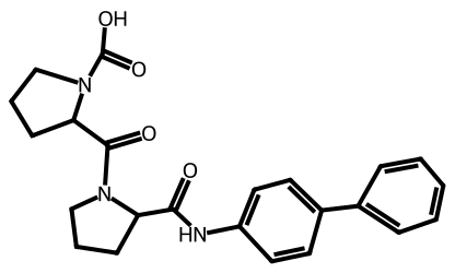 O=C(Nc1ccc(-c2ccccc2)cc1)C1CCCN1C(=O)C1CCCN1C(=O)O